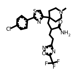 CN1CCC(CC(CCc2noc(C(F)(F)F)n2)C(N)=O)(c2csc(-c3ccc(Cl)cc3)n2)CC1